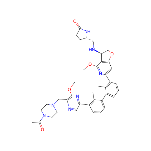 COc1nc(-c2cccc(-c3cccc(-c4cc5c(c(OC)n4)[C@@H](NC[C@@H]4CCC(=O)N4)CO5)c3C)c2C)cnc1CN1CCN(C(C)=O)CC1